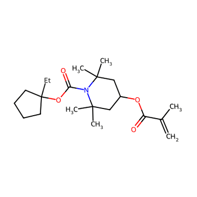 C=C(C)C(=O)OC1CC(C)(C)N(C(=O)OC2(CC)CCCC2)C(C)(C)C1